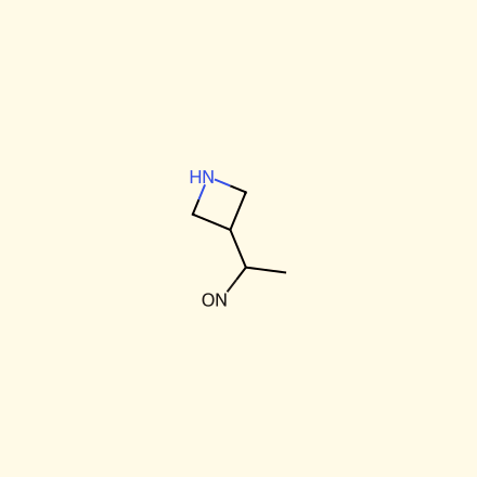 CC(N=O)C1CNC1